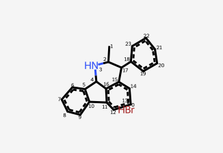 Br.CC1NC2c3ccccc3-c3cccc(c32)C1c1ccccc1